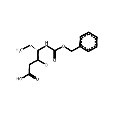 CC[C@H](NC(=O)OCc1ccccc1)C(O)CC(=O)O